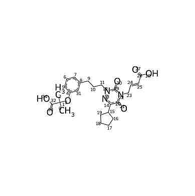 CC(C)(Oc1cccc(CCCn2nc(C3CCCC3)c(=O)n(CC=CC(=O)O)c2=O)c1)C(=O)O